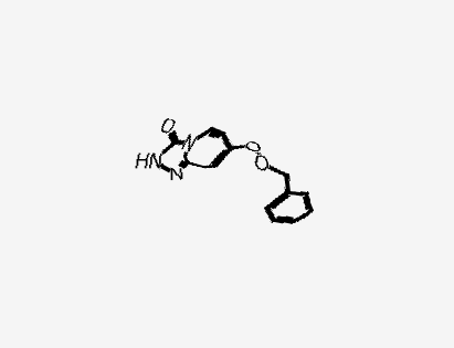 O=c1[nH]nc2cc(OOCc3ccccc3)ccn12